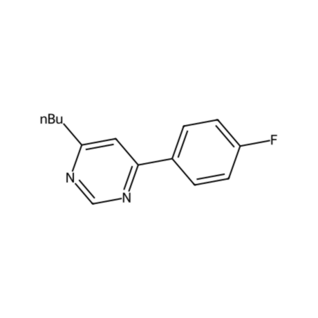 CCCCc1cc(-c2ccc(F)cc2)ncn1